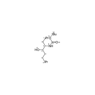 CC(C)CCC(O)C(CC(C)C)NC(=O)OC(C)(C)C